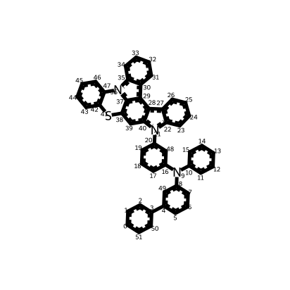 c1ccc(-c2cccc(N(c3ccccc3)c3cccc(-n4c5ccccc5c5c6c7ccccc7n7c6c(cc54)Sc4ccccc4-7)c3)c2)cc1